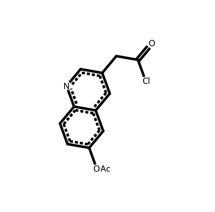 CC(=O)Oc1ccc2ncc(CC(=O)Cl)cc2c1